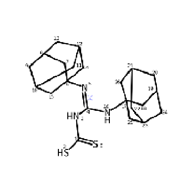 S=C(S)N/C(=N\C12CC3CC(CC(C3)C1)C2)NC12CC3CC(CC(C3)C1)C2